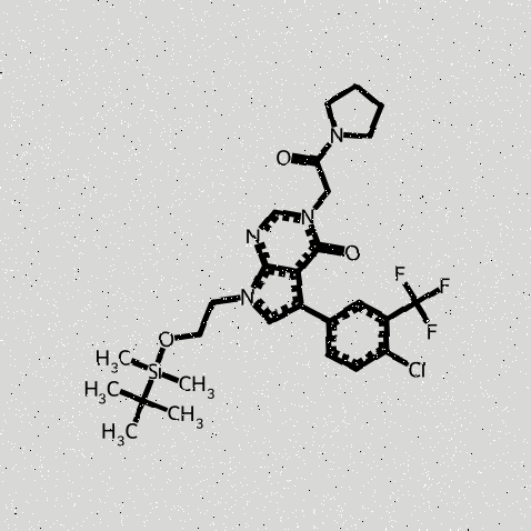 CC(C)(C)[Si](C)(C)OCCn1cc(-c2ccc(Cl)c(C(F)(F)F)c2)c2c(=O)n(CC(=O)N3CCCC3)cnc21